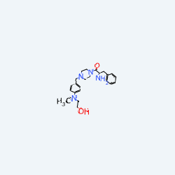 CN(CCO)c1ccc(CN2CCN(C(=O)C(N)Cc3ccccc3)CC2)cc1